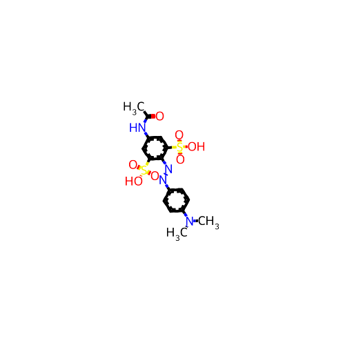 CC(=O)Nc1cc(S(=O)(=O)O)c(N=Nc2ccc(N(C)C)cc2)c(S(=O)(=O)O)c1